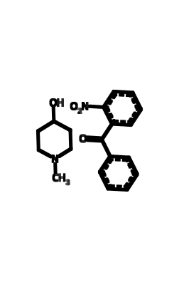 CN1CCC(O)CC1.O=C(c1ccccc1)c1ccccc1[N+](=O)[O-]